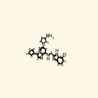 NC1CCN(c2cc(NCc3nc4cccc(Cl)c4[nH]3)c3ncc(-c4ccsc4)n3n2)C1